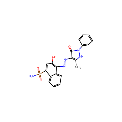 Cc1[nH]n(-c2ccccc2)c(=O)c1N=Nc1c(O)cc(S(N)(=O)=O)c2ccccc12